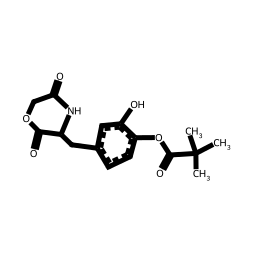 CC(C)(C)C(=O)Oc1ccc(CC2NC(=O)COC2=O)cc1O